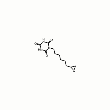 O=c1[nH]c(=O)n(CCCCCCC2CO2)c(=O)[nH]1